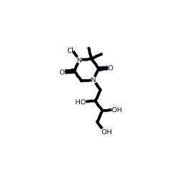 CC1(C)C(=O)N(CC(O)C(O)CO)CC(=O)N1Cl